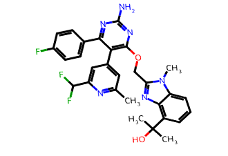 Cc1cc(-c2c(OCc3nc4c(C(C)(C)O)cccc4n3C)nc(N)nc2-c2ccc(F)cc2)cc(C(F)F)n1